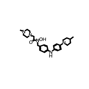 CC1CCN(c2ccc(Nc3ccc(CN(O)C(=O)CN4CCN(C)CC4)cc3)cc2)CC1